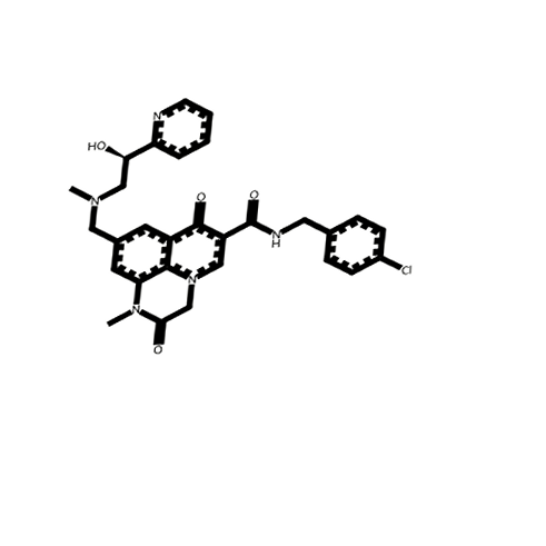 CN(Cc1cc2c3c(c1)c(=O)c(C(=O)NCc1ccc(Cl)cc1)cn3CC(=O)N2C)C[C@@H](O)c1ccccn1